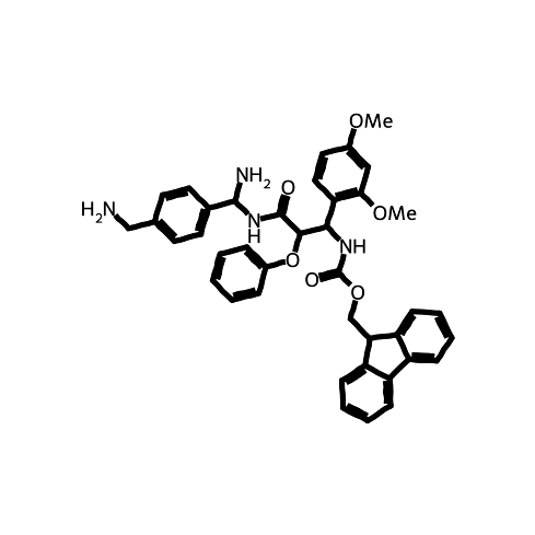 COc1ccc(C(NC(=O)OCC2c3ccccc3-c3ccccc32)C(Oc2ccccc2)C(=O)NC(N)c2ccc(CN)cc2)c(OC)c1